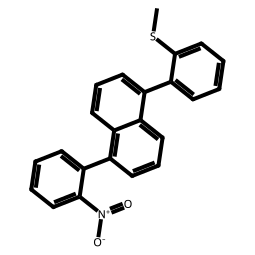 CSc1ccccc1-c1cccc2c(-c3ccccc3[N+](=O)[O-])cccc12